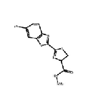 CNNC(=O)C1CSC(c2nc3ccc(C(C)C)cc3s2)=N1